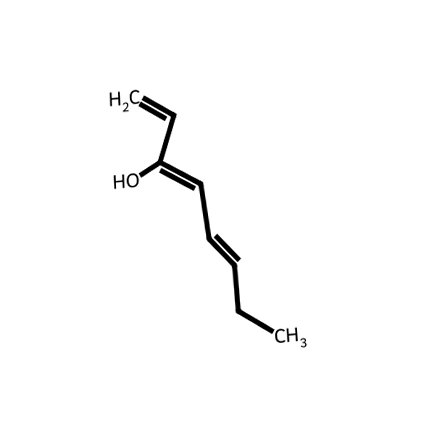 C=CC(O)=CC=CCC